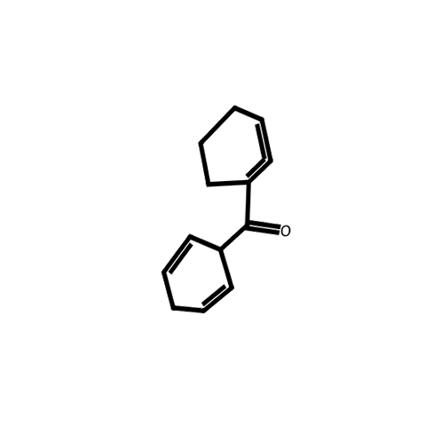 O=C(C1=C=CCCC1)C1C=CCC=C1